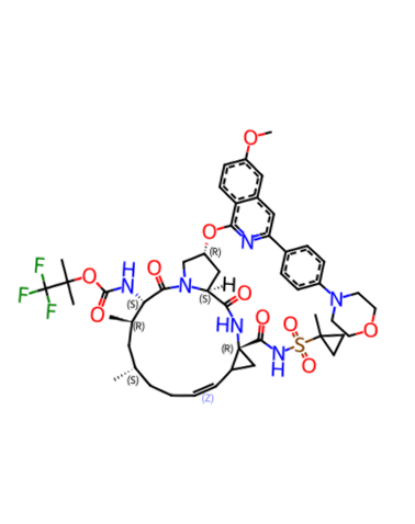 COc1ccc2c(O[C@@H]3C[C@H]4C(=O)N[C@]5(C(=O)NS(=O)(=O)C6(C)CC6)CC5/C=C\CC[C@H](C)C[C@@H](C)[C@H](NC(=O)OC(C)(C)C(F)(F)F)C(=O)N4C3)nc(-c3ccc(N4CCOCC4)cc3)cc2c1